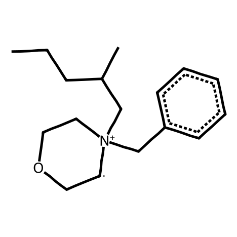 CCCC(C)C[N+]1(Cc2ccccc2)[CH]COCC1